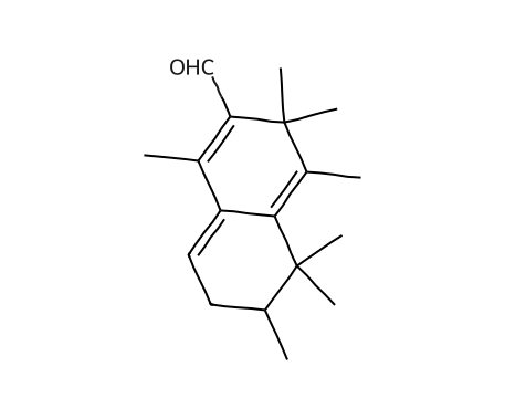 CC1=C(C=O)C(C)(C)C(C)=C2C1=CCC(C)C2(C)C